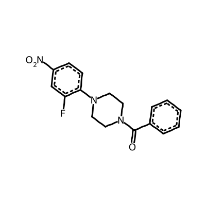 O=C(c1ccccc1)N1CCN(c2ccc([N+](=O)[O-])cc2F)CC1